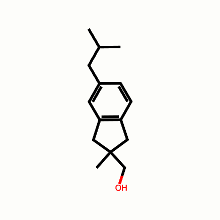 CC(C)Cc1ccc2c(c1)CC(C)(CO)C2